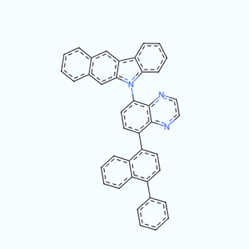 c1ccc(-c2ccc(-c3ccc(-n4c5ccccc5c5cc6ccccc6cc54)c4nccnc34)c3ccccc23)cc1